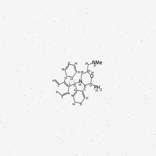 C=C/C=C(\C=C/C)C(C1=CCCC=C1)([C@H]1C=CC=CC1)N1CC(P)OC(CNC)C1